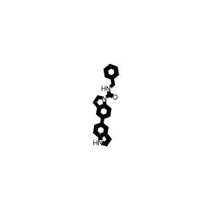 O=C(NCc1ccccc1)N1CCc2cc(-c3ccc4[nH]ccc4c3)ccc21